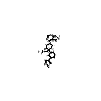 Cn1cc(-c2cccc(C3(CN)CCN(c4ncnc5[nH]ncc45)CC3)c2)cn1